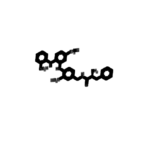 Cl.N[C@@H](Cc1ccccc1)C(=O)NCc1ccc(Nc2cc(C(F)(F)F)ccc2Nc2ccccc2C(=O)O)c(C(=O)O)c1